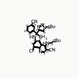 BC(Nc1cc(Cl)c2ncc(C#N)c(NCC(C)(C)C)c2c1)(c1cccc(C#N)c1)c1cn(C(C)(C)C)nn1